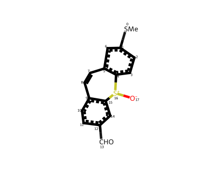 CSc1ccc2c(c1)C=Cc1ccc(C=O)cc1[S+]2[O-]